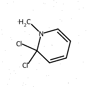 [CH2]N1C=CC=CC1(Cl)Cl